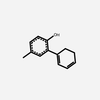 Cc1ccc(O)c(C2=CC=CCC2)c1